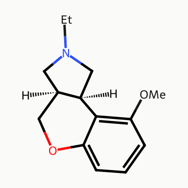 [CH2]CN1C[C@@H]2COc3cccc(OC)c3[C@@H]2C1